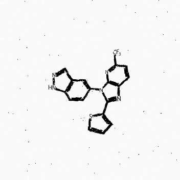 FC(F)(F)c1ccc2nc(-c3cccs3)n(-c3ccc4[nH]ncc4c3)c2n1